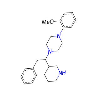 COc1ccccc1N1CCN(C(Cc2ccccc2)C2CCCNC2)CC1